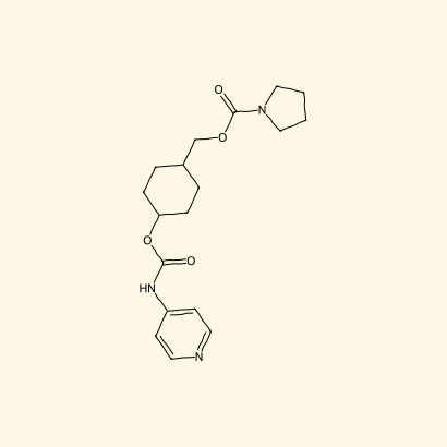 O=C(Nc1ccncc1)OC1CCC(COC(=O)N2CCCC2)CC1